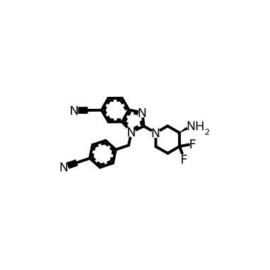 N#Cc1ccc(Cn2c(N3CCC(F)(F)[C@H](N)C3)nc3ccc(C#N)cc32)cc1